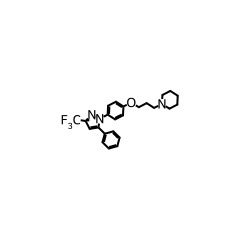 FC(F)(F)c1cc(-c2ccccc2)n(-c2ccc(OCCCN3CCCCC3)cc2)n1